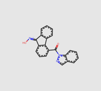 O=C(c1cccc2c1-c1ccccc1/C2=N/O)n1ncc2ccccc21